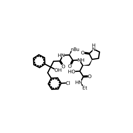 CCCC[C@H](NC(=O)CC(O)(Cc1cccc(Cl)c1)c1ccccc1)C(=O)N[C@@H](C[C@@H]1CCNC1=O)C(O)C(=O)NCC